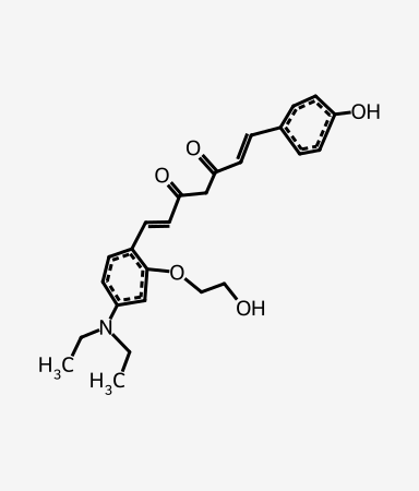 CCN(CC)c1ccc(C=CC(=O)CC(=O)C=Cc2ccc(O)cc2)c(OCCO)c1